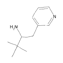 CC(C)(C)C(N)Cc1cccnc1